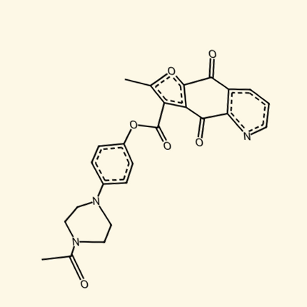 CC(=O)N1CCN(c2ccc(OC(=O)c3c(C)oc4c3C(=O)c3ncccc3C4=O)cc2)CC1